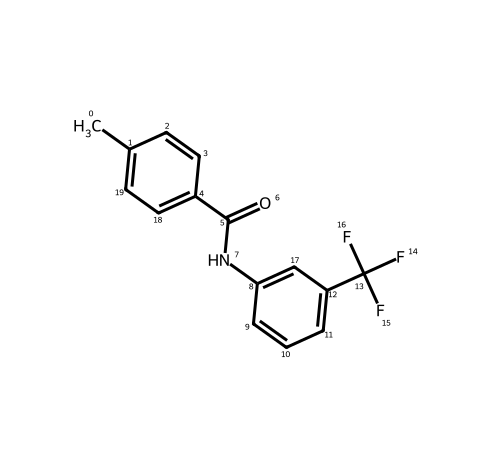 Cc1ccc(C(=O)Nc2cccc(C(F)(F)F)c2)cc1